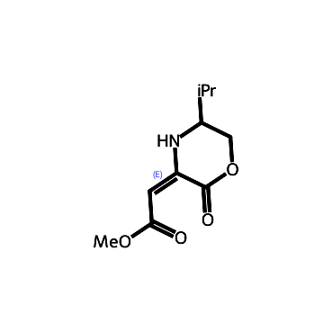 COC(=O)/C=C1/NC(C(C)C)COC1=O